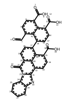 O=Cc1ccc(C(=O)O)c2c(C(=O)O)ccc(-c3ccc4c(=O)n5c6ccccc6nc5c5ccc(C(=O)O)c3c45)c12